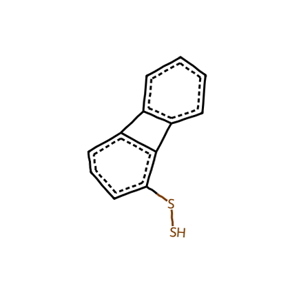 SSc1cccc2c1-c1ccccc1-2